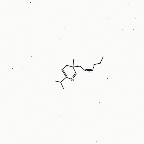 CCC/C=C\CC1(C)C=NC(C(C)C)=CC1